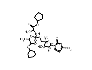 CC[C@]1(COP(=O)(NC(C)C(=O)OC2CCCCC2)OC(C)C(=O)OC2CCCCC2)O[C@@H](n2ccc(N)nc2=O)[C@H](F)[C@@H]1O